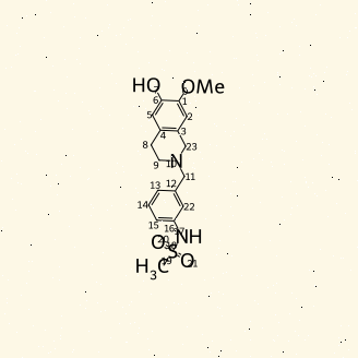 COc1cc2c(cc1O)CCN(Cc1cccc(NS(C)(=O)=O)c1)C2